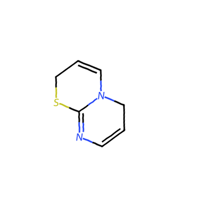 C1=CN2CC=CN=C2SC1